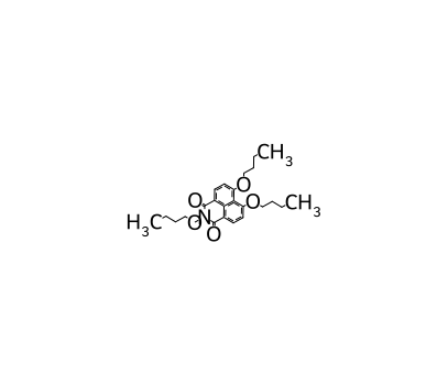 CCCCOc1ccc2c3c(ccc(OCCCC)c13)C(=O)N(OCCCC)C2=O